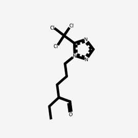 CCC(C=O)CCCn1ncnc1C(Cl)(Cl)Cl